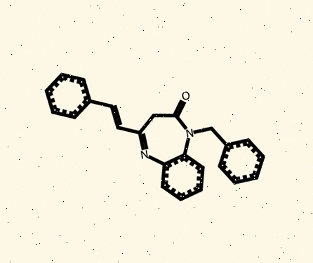 O=C1CC(C=Cc2ccccc2)=Nc2ccccc2N1Cc1ccccc1